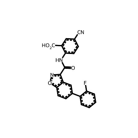 N#Cc1ccc(NC(=O)c2noc3ccc(-c4ccccc4F)cc23)c(C(=O)O)c1